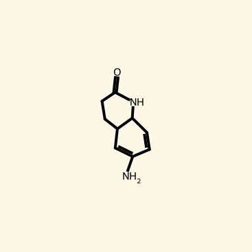 NC1=CC2CCC(=O)NC2C=C1